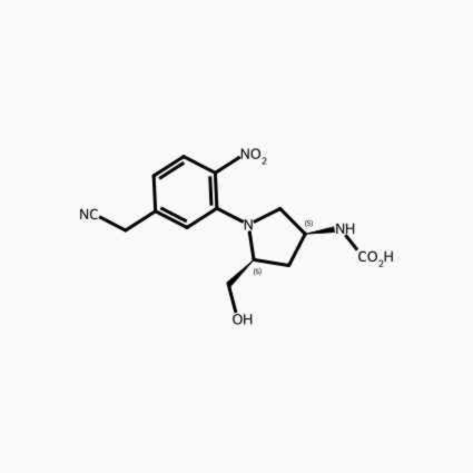 N#CCc1ccc([N+](=O)[O-])c(N2C[C@@H](NC(=O)O)C[C@H]2CO)c1